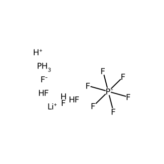 F.F.F.F[P-](F)(F)(F)(F)F.P.[F-].[H+].[Li+]